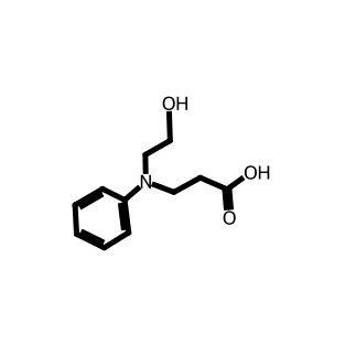 O=C(O)CCN(CCO)c1ccccc1